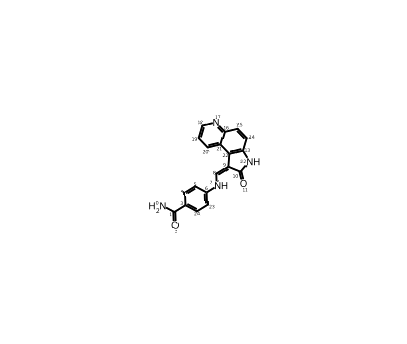 NC(=O)c1ccc(NC=C2C(=O)Nc3ccc4ncccc4c32)cc1